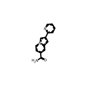 NC(=O)c1ccn2cc(-c3ccccn3)cc2c1